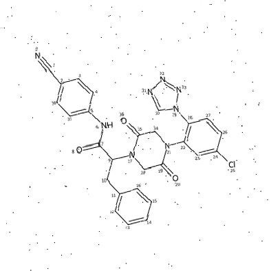 N#Cc1ccc(NC(=O)C(Cc2ccccc2)N2CC(=O)N(c3cc(Cl)ccc3-n3cnnn3)CC2=O)cc1